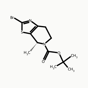 C[C@@H]1c2sc(Br)nc2CCN1C(=O)OC(C)(C)C